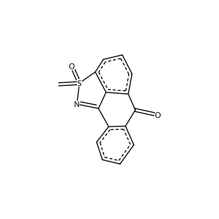 C=S1(=O)N=C2c3ccccc3C(=O)c3cccc1c32